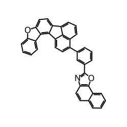 c1cc(-c2nc3ccc4ccccc4c3o2)cc(-c2ccc3c4c(cccc24)-c2ccc4oc5ccccc5c4c2-3)c1